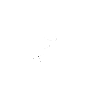 COC(=O)CCCC(F)(F)F